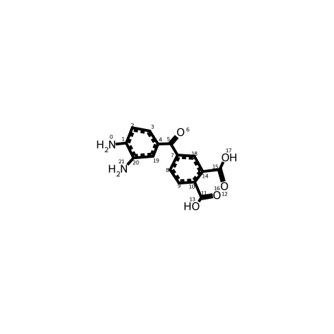 Nc1ccc(C(=O)c2ccc(C(=O)O)c(C(=O)O)c2)cc1N